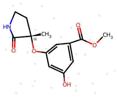 COC(=O)c1cc(O)cc(O[C@@]2(C)CCNC2=O)c1